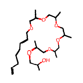 C=CCCCC=CCOCC(C)OCC(C)OCC(C)OCC(C)OCC(C)OCC(C)O